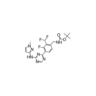 Cn1ccc(Nc2ncnc(-c3ccc(CNC(=O)OC(C)(C)C)c(C(F)F)c3F)n2)n1